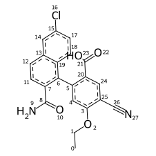 CCOc1cc(-c2c(C(N)=O)ccc3cc(Cl)ccc23)c(C(=O)O)cc1C#N